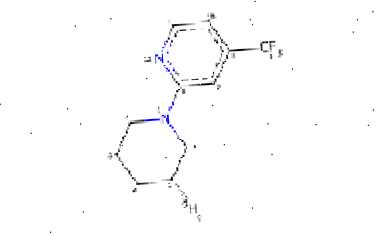 [2H][C@@H]1CCCN(c2cc(C(F)(F)F)ccn2)C1